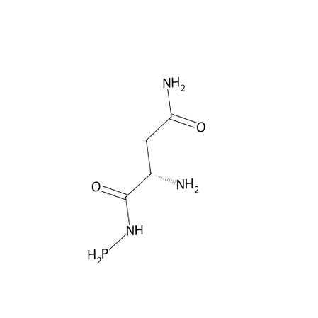 NC(=O)C[C@H](N)C(=O)NP